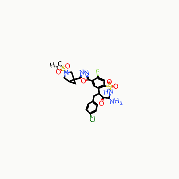 CS(=O)(=O)N1CC2CC2(c2nnc(-c3cc4c(cc3F)S(=O)(=O)N[C@@H](N)C(=O)C4Cc3ccc(Cl)cc3)o2)C1